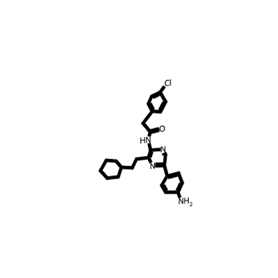 Nc1ccc(-c2cnc(NC(=O)Cc3ccc(Cl)cc3)c(CCC3CCCCC3)n2)cc1